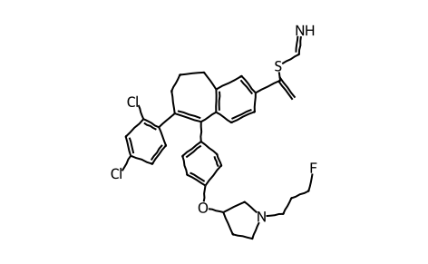 C=C(SC=N)c1ccc2c(c1)CCCC(c1ccc(Cl)cc1Cl)=C2c1ccc(OC2CCN(CCCF)C2)cc1